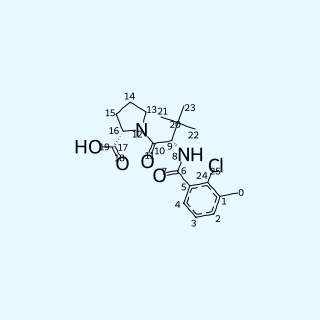 Cc1cccc(C(=O)N[C@H](C(=O)N2CCC[C@H]2C(=O)O)C(C)(C)C)c1Cl